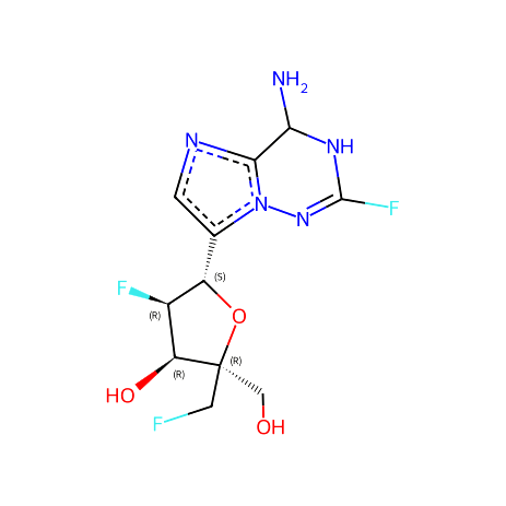 NC1NC(F)=Nn2c([C@@H]3O[C@@](CO)(CF)[C@@H](O)[C@H]3F)cnc21